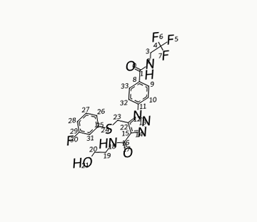 O=C(NCC(F)(F)F)c1ccc(-n2nnc(C(=O)NCCO)c2CSc2cccc(F)c2)cc1